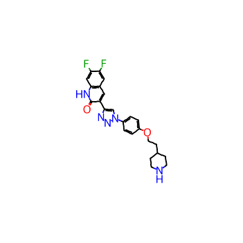 O=c1[nH]c2cc(F)c(F)cc2cc1-c1cn(-c2ccc(OCCC3CCNCC3)cc2)nn1